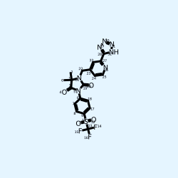 CC1(C)C(=O)N(c2ccc(S(=O)(=O)C(F)(F)F)cc2)C(=O)N1Cc1ccnc(-c2nnn[nH]2)c1